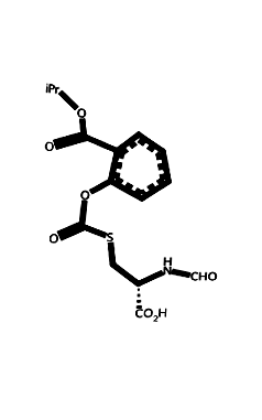 CC(C)OC(=O)c1ccccc1OC(=O)SC[C@H](NC=O)C(=O)O